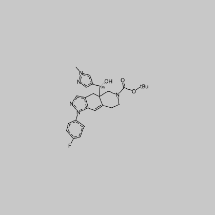 Cn1cc([C@H](O)C23Cc4cnn(-c5ccc(F)cc5)c4C=C2CCN(C(=O)OC(C)(C)C)C3)cn1